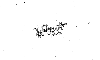 Cc1cc(F)c(C(=O)Nc2cccc(-n3nnnc3C(C)C)n2)cc1-c1cnn(C)c1